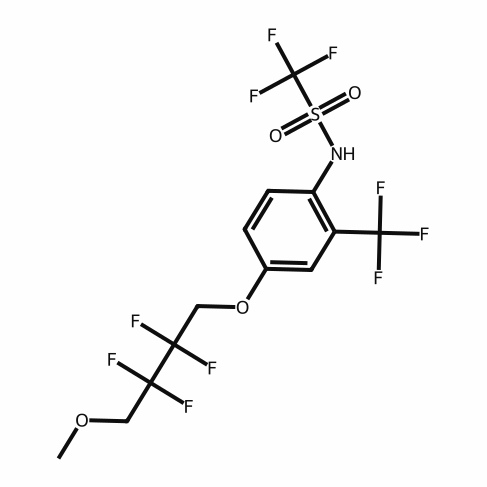 COCC(F)(F)C(F)(F)COc1ccc(NS(=O)(=O)C(F)(F)F)c(C(F)(F)F)c1